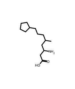 CC(CCCC1CCCC1)CC(N)CC(=O)O